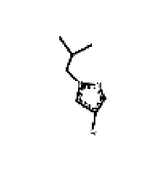 CC(C)Cn1cc(Br)[c]n1